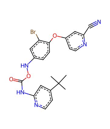 CC(C)(C)c1ccnc(NC(=O)ONc2ccc(Oc3ccnc(C#N)c3)c(Br)c2)c1